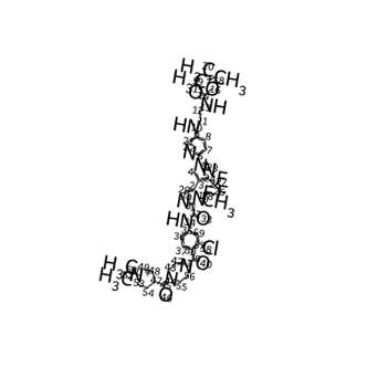 Cn1c(-c2cn(-c3ccc(NCCNC(=O)OC(C)(C)C)cn3)nc2C(F)(F)F)cnc1C(=O)Nc1ccc(C(=O)N2CCN(C(=O)C3CC[N+](C)(C)CC3)CC2)c(Cl)c1